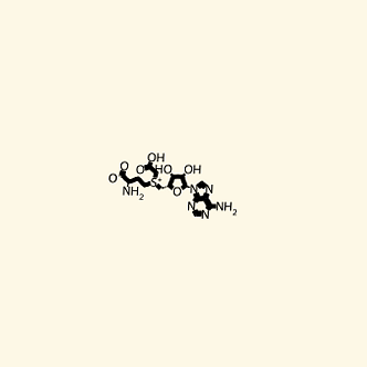 Nc1ncnc2c1ncn2[C@@H]1O[C@H](C[S+](CC[C@H](N)C(=O)[O-])CC(=O)O)[C@@H](O)[C@H]1O